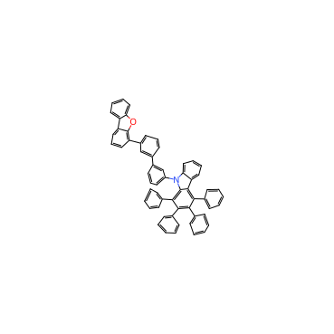 c1ccc(-c2c(-c3ccccc3)c(-c3ccccc3)c3c(c2-c2ccccc2)c2ccccc2n3-c2cccc(-c3cccc(-c4cccc5c4oc4ccccc45)c3)c2)cc1